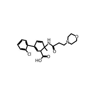 CC1(NC(=O)CCN2CCOCC2)C=CC(c2ccccc2Cl)=CC1C(=O)O